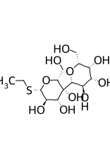 CCS[C@@H]1O[C@H](CO)[C@@](O)([C@@H]2O[C@H](CO)[C@H](O)[C@H](O)[C@H]2O)[C@H](O)[C@H]1O